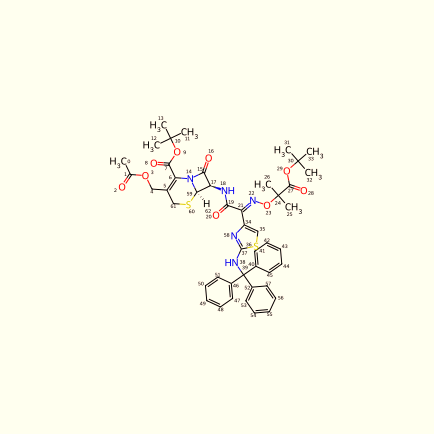 CC(=O)OCC1=C(C(=O)OC(C)(C)C)N2C(=O)[C@@H](NC(=O)C(=NOC(C)(C)C(=O)OC(C)(C)C)c3csc(NC(c4ccccc4)(c4ccccc4)c4ccccc4)n3)[C@H]2SC1